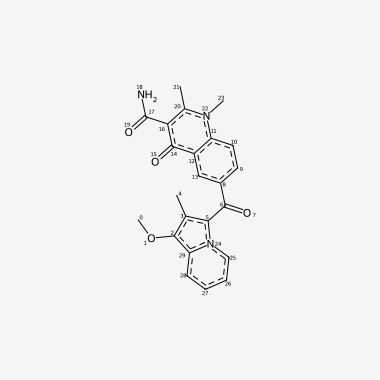 COc1c(C)c(C(=O)c2ccc3c(c2)c(=O)c(C(N)=O)c(C)n3C)n2ccccc12